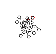 CC(=O)OC1C(OC2C(OC3C(F)OC(COCc4ccccc4)C(OCc4ccccc4)C3OCc3ccccc3)OC(COCc3ccccc3)C(OCc3ccccc3)C2OCc2ccccc2)OC(COCc2ccccc2)C(OCc2ccccc2)C1OCc1ccccc1